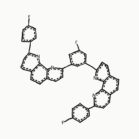 Fc1ccc(-c2ccc3ccc4ccc(-c5cc(F)cc(-c6ccc7ccc8ccc(-c9ccc(F)cc9)nc8c7n6)c5)nc4c3n2)cc1